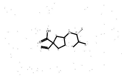 C=CC1(C(=O)O)CCC(O[C@H](C)C(C)C)C1